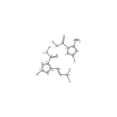 COC(=O)c1sc(C)cc1N.COC(=O)c1sc(C)cc1N=CN(C)C